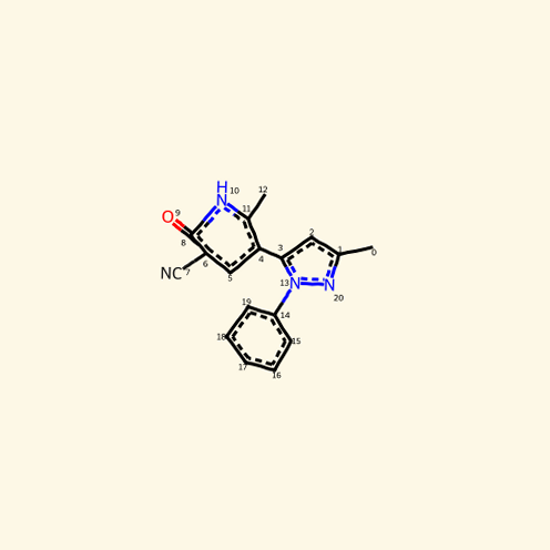 Cc1cc(-c2cc(C#N)c(=O)[nH]c2C)n(-c2ccccc2)n1